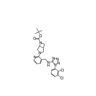 CC(C)(C)OC(=O)N1CC2CN(c3ncccc3CNc3nnnn3-c3cccc(Cl)c3Cl)CC21